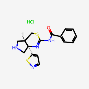 Cl.O=C(NC1=N[C@@]2(c3ccns3)CNC[C@H]2CS1)c1ccccc1